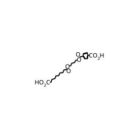 O=C(O)CCCCCCCCC(=O)OCCCCOC(=O)c1ccc(C(=O)O)cc1